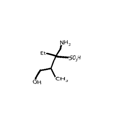 CCC(N)(C(C)CO)S(=O)(=O)O